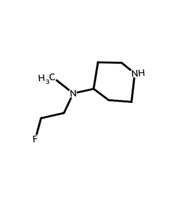 CN(CCF)C1CCNCC1